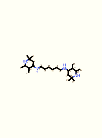 CC1NC(C)(C)CC(NCCCCCCNC2CC(C)(C)NC(C)C2C)C1C